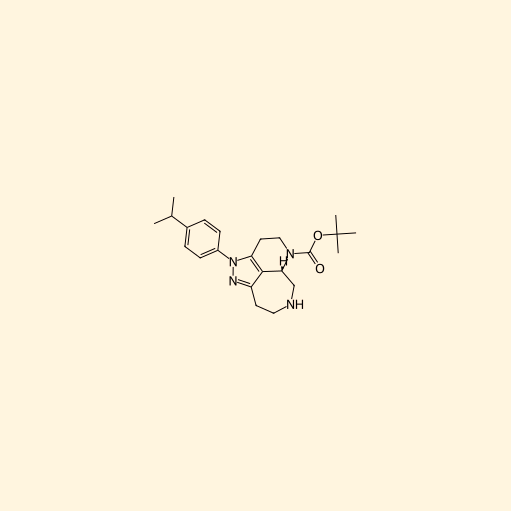 CC(C)c1ccc(-n2nc3c4c2CCN(C(=O)OC(C)(C)C)[C@@H]4CNCC3)cc1